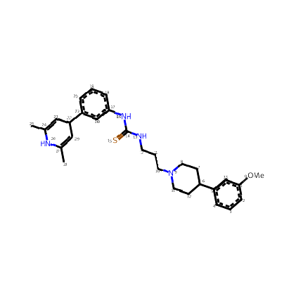 COc1cccc(C2CCN(CCCNC(=S)Nc3cccc(C4C=C(C)NC(C)=C4)c3)CC2)c1